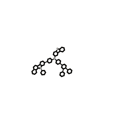 c1ccc(-c2ccc(-c3ccc(N(c4ccc(-c5ccc6c7ccc8ccccc8c7n(-c7ccccc7)c6c5)cc4)c4ccc5sc6ccccc6c5c4)cc3)cc2-c2ccccc2)cc1